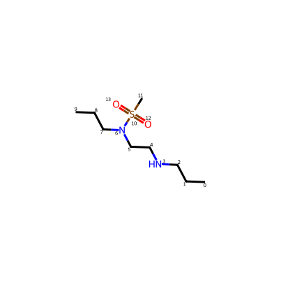 CCCNCCN(CCC)S(C)(=O)=O